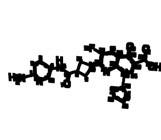 Nc1ccc(NC(=O)C2CN(c3nc4c(cc3F)c(=O)c(C(=O)O)cn4-c3nccs3)C2)cn1